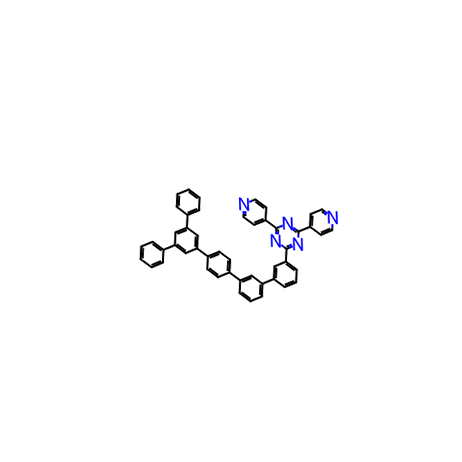 c1ccc(-c2cc(-c3ccccc3)cc(-c3ccc(-c4cccc(-c5cccc(-c6nc(-c7ccncc7)nc(-c7ccncc7)n6)c5)c4)cc3)c2)cc1